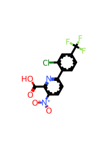 O=C(O)c1nc(-c2ccc(C(F)(F)F)cc2Cl)ccc1[N+](=O)[O-]